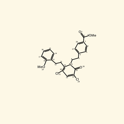 COC(=O)c1ccc(CCn2c(CCc3ccccc3OC)c(Cl)cc(Cl)c2=O)cc1